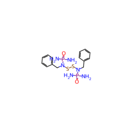 NP(N)(=O)N(Cc1ccccc1)SSN(Cc1ccccc1)P(N)(N)=O